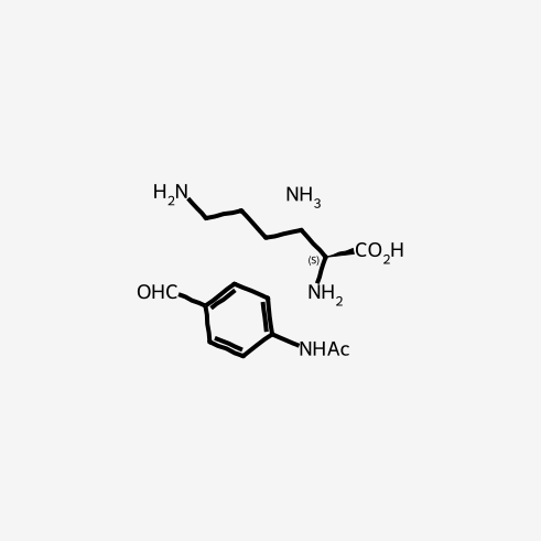 CC(=O)Nc1ccc(C=O)cc1.N.NCCCC[C@H](N)C(=O)O